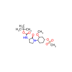 CO[C@H]1C[C@H](OS(C)(=O)=O)CC[C@H]1N1CC[C@H](NC(=O)OC(C)(C)C)C1=O